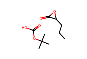 CC(C)(C)OC(=O)O.CCCC1OC1=O